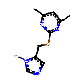 Cc1cc(C)nc(SCc2cncn2C(C)C)n1